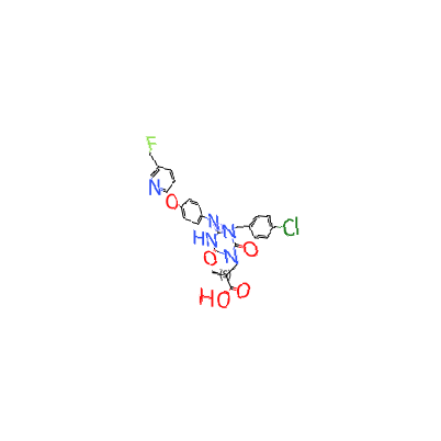 C[C@@H](Cn1c(=O)[nH]/c(=N\c2ccc(Oc3ccc(CF)cn3)cc2)n(Cc2ccc(Cl)cc2)c1=O)C(=O)O